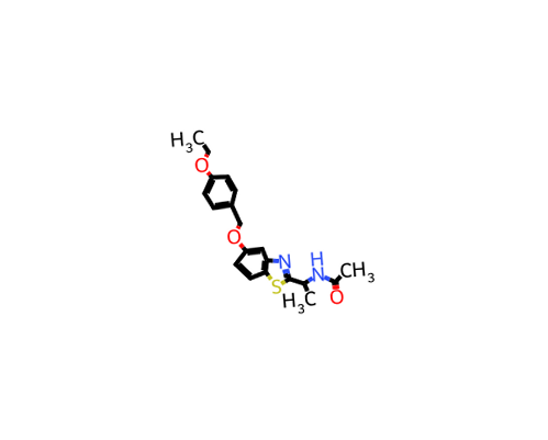 CCOc1ccc(COc2ccc3sc(C(C)NC(C)=O)nc3c2)cc1